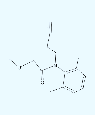 C#CCCN(C(=O)COC)c1c(C)cccc1C